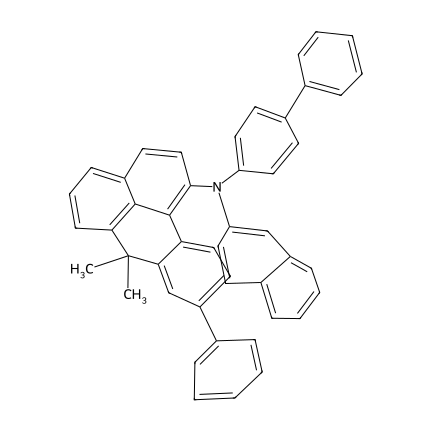 CC1(C)c2cc(-c3ccccc3)ccc2-c2c(N(c3ccc(-c4ccccc4)cc3)c3ccc4ccccc4c3)ccc3cccc1c23